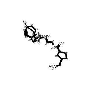 NCC1CCC(C(=O)SCCNS(=O)(=O)C2C[C@@H]3C#CC4C2C[C@H]4C=C3)C1